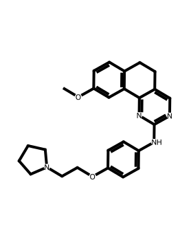 COc1ccc2c(c1)-c1nc(Nc3ccc(OCCN4CCCC4)cc3)ncc1CC2